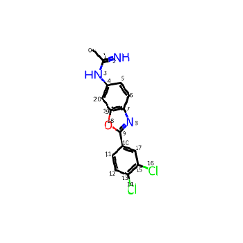 CC(=N)Nc1ccc2nc(-c3ccc(Cl)c(Cl)c3)oc2c1